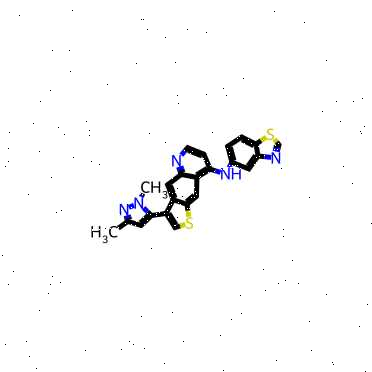 Cc1cc(-c2csc3cc4c(Nc5ccc6scnc6c5)ccnc4cc23)n(C)n1